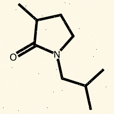 CC(C)CN1CCC(C)C1=O